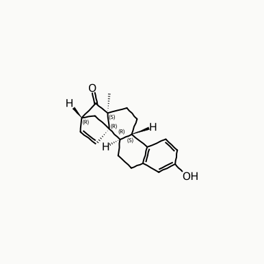 C[C@]12CC[C@@H]3c4ccc(O)cc4CC[C@H]3[C@]13C=C[C@@H](C3)C2=O